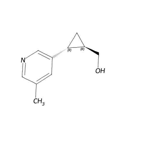 Cc1cncc([C@@H]2C[C@H]2CO)c1